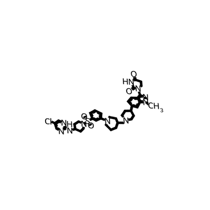 Cn1nc(N2CCC(=O)NC2=O)c2ccc(C3CCN(CC4CCCN(c5cccc(S(=O)(=O)N6CCC(Nc7ncc(Cl)cn7)CC6)c5)CC4)CC3)cc21